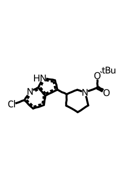 CC(C)(C)OC(=O)N1CCCC(c2c[nH]c3nc(Cl)ccc23)C1